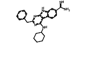 N=C(N)c1ccc2c(c1)[nH]c1nc(Cc3ccccc3)nc(NC3CCCCC3)c12